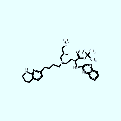 COC[C@@H](F)CN(CCCCc1ccc2c(n1)NCCC2)CC[C@H](Nc1cnc2ccccc2n1)C(=O)OC(C)(C)C